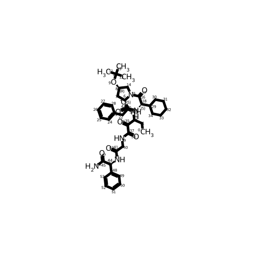 CCC(NC(=O)[C@@H]1C[C@@H](OC(C)(C)C)CN1C(=O)[C@@H](NC(=O)Cc1ccccc1)C1CCCCC1)C(=O)C(=O)NCC(=O)N[C@H](C(N)=O)c1ccccc1